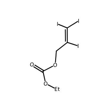 CCOC(=O)OCC(I)=C(I)I